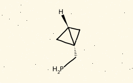 PC[C@]12C[C@@H]1C2